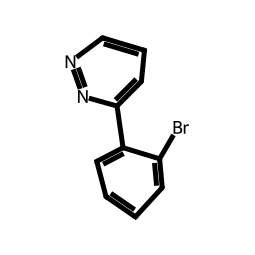 Brc1ccccc1-c1cccnn1